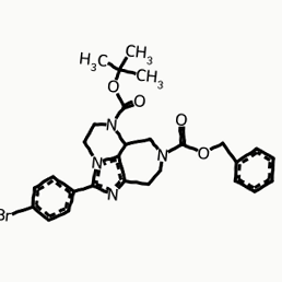 CC(C)(C)OC(=O)N1CCn2c(-c3ccc(Br)cc3)nc3c2C1CN(C(=O)OCc1ccccc1)CC3